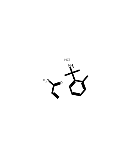 C=CC(N)=O.Cc1ccccc1C(C)(C)N.Cl